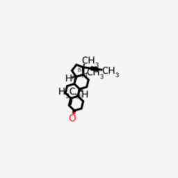 CC#C[C@@]1(C)CC[C@H]2C3CCC4=CC(=O)CC[C@]4(C)[C@H]3CC[C@@]21C